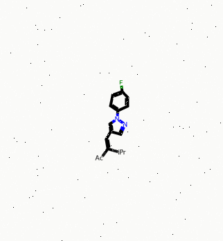 CC(=O)/C(=C/c1cnn(-c2ccc(F)cc2)c1)C(C)C